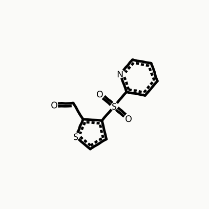 O=Cc1sccc1S(=O)(=O)c1ccccn1